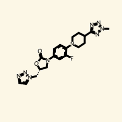 Cn1nnc(C2CCN(c3ccc(N4C[C@H](Cn5ccnn5)OC4=O)cc3F)CC2)n1